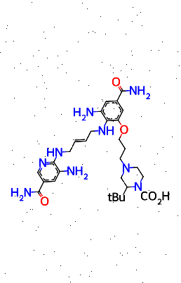 CC(C)(C)C1CN(CCCOc2cc(C(N)=O)cc(N)c2NCC=CCNc2ncc(C(N)=O)cc2N)CCN1C(=O)O